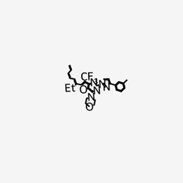 C=C/C=C\C=C(/CC)c1oc2c(N3CCOCC3)nc(-n3ccc(-c4cccc(C)c4)n3)nc2c1C(F)(F)F